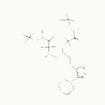 CCC(C)(O[C@@H](C)C(=O)C(C)(CC)N(C[C@@H](COc1nsnc1N1CCOCC1)OC(C)(CC)C(=O)[C@H](C)OC(CC)(CC)C(C)=O)C(C)(C)C)C(C)=O